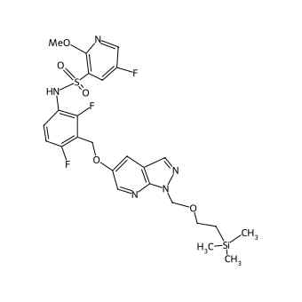 COc1ncc(F)cc1S(=O)(=O)Nc1ccc(F)c(COc2cnc3c(cnn3COCC[Si](C)(C)C)c2)c1F